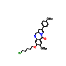 COc1ccc(C2=CN3C(=O)c4cc(OC)c(OCCCCCBr)cc4N=CC3C2)cc1